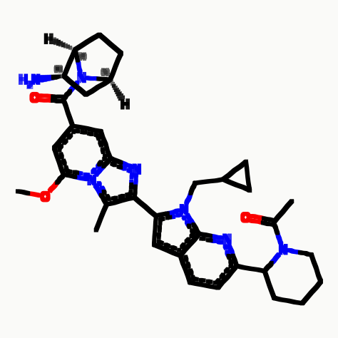 COc1cc(C(=O)N2[C@H]3CC[C@@H]2[C@H](N)C3)cc2nc(-c3cc4ccc(C5CCCCN5C(C)=O)nc4n3CC3CC3)c(C)n12